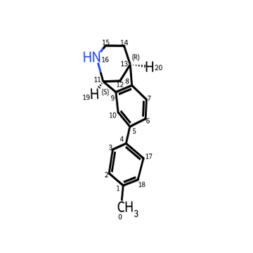 Cc1ccc(-c2ccc3c(c2)[C@@H]2C[C@H]3CCN2)cc1